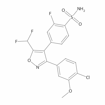 COc1cc(-c2noc(C(F)F)c2-c2ccc(S(N)(=O)=O)c(F)c2)ccc1Cl